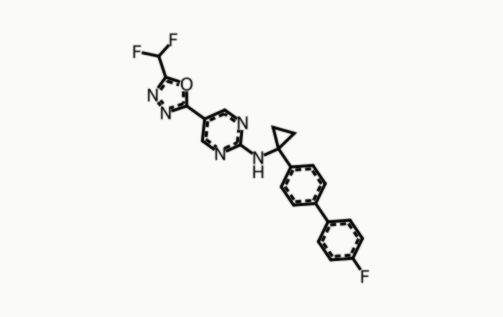 Fc1ccc(-c2ccc(C3(Nc4ncc(-c5nnc(C(F)F)o5)cn4)CC3)cc2)cc1